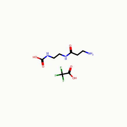 NCCC(=O)NCCNC(=O)O.O=C(O)C(F)(F)F